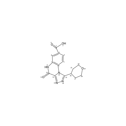 O=C(O)c1ccc2c(c1)[nH]c(=O)c1nnc(C3CCOCC3)n12